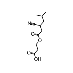 CC(C)CC(C#N)CC(=O)OCCC(=O)O